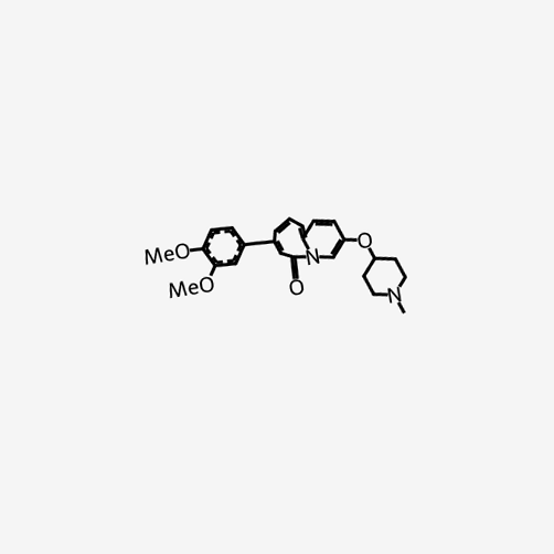 COc1ccc(C2=C\C(=O)N3C=C(OC4CCN(C)CC4)C=C\C3=C/C=C/2)cc1OC